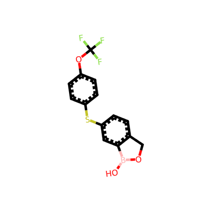 OB1OCc2ccc(Sc3ccc(OC(F)(F)F)cc3)cc21